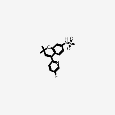 CC1(C)C=C(c2ccc(F)cn2)c2ccc(NS(C)(=O)=O)cc2O1